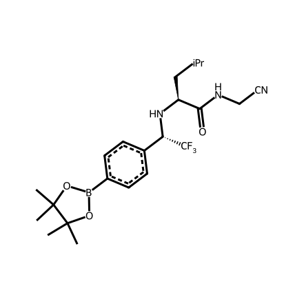 CC(C)C[C@H](N[C@@H](c1ccc(B2OC(C)(C)C(C)(C)O2)cc1)C(F)(F)F)C(=O)NCC#N